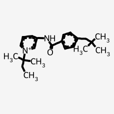 CCC(C)(C)[n+]1cccc(NC(=O)c2ccc(CC(C)(C)C)cc2)c1